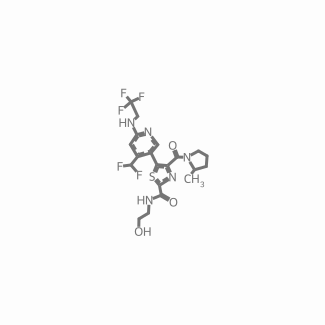 CC1CCCN1C(=O)c1nc(C(=O)NCCO)sc1-c1cnc(NCC(F)(F)F)cc1C(F)F